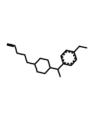 C=CCCCC1CCC(C(C)c2ccc(CC)cc2)CC1